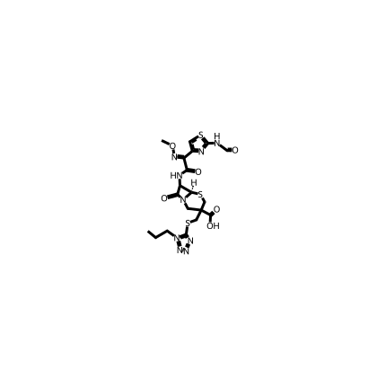 CCCn1nnnc1SCC1(C(=O)O)CS[C@@H]2C(NC(=O)C(=NOC)c3csc(NC=O)n3)C(=O)N2C1